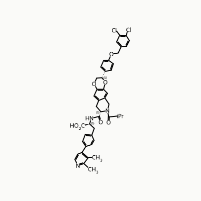 Cc1nccc(-c2ccc(C[C@H](NC(=O)[C@@H]3Cc4cc5c(cc4CN3C(=O)C(C)C)O[C@@H](c3ccc(OCc4ccc(Cl)c(Cl)c4)cc3)CO5)C(=O)O)cc2)c1C